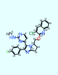 CCCNc1nccc(-c2c(-c3ccc(F)cc3)nc3n2C(COc2nc4ccccc4cc2Cl)CC3)n1